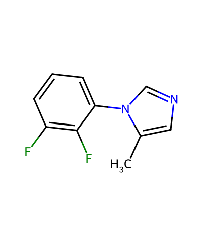 Cc1cncn1-c1cccc(F)c1F